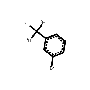 [2H]C([2H])([2H])c1cccc(Br)c1